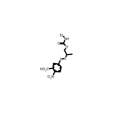 CCNC(=O)OCC(C)SSc1ccc([N+](=O)[O-])c(C(=O)O)c1